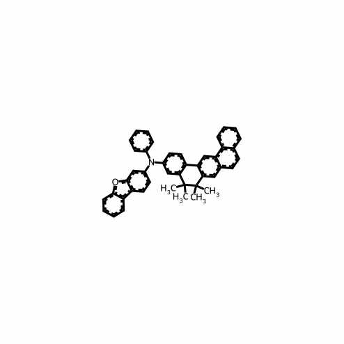 CC1(C)c2cc(N(c3ccccc3)c3ccc4c(c3)oc3ccccc34)ccc2-c2cc3c(ccc4ccccc43)cc2C1(C)C